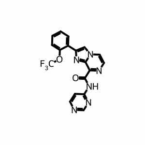 O=C(Nc1ccncn1)c1nccn2cc(-c3ccccc3OC(F)(F)F)nc12